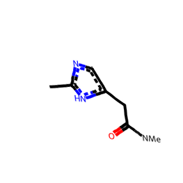 CNC(=O)Cc1[c]nc(C)[nH]1